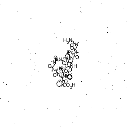 CC(C)[C@@H](C(=O)NC[C@@H](NC(=O)OCc1ccccc1)C(=O)N1CCCC[C@H]1C(=O)NCC(=O)N(C)CC(=O)N(C)[C@H](C(=O)NC[C@@H](NC(=O)OC(C)(C)C)C(=O)N1CCCC[C@H]1C(=O)O)C(C)C)N(C)C(=O)CN(C)C(=O)CN